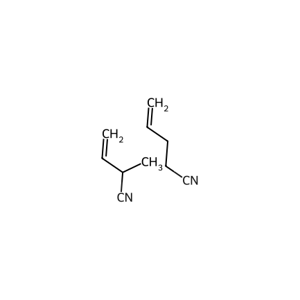 C=CC(C)C#N.C=CCCC#N